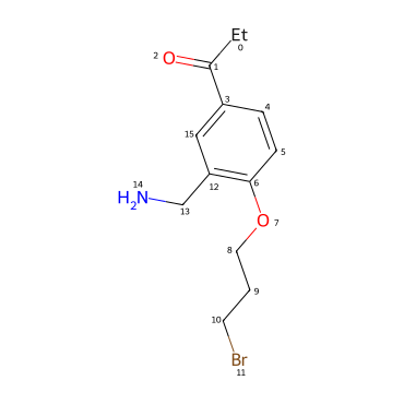 CCC(=O)c1ccc(OCCCBr)c(CN)c1